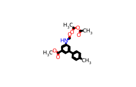 CC(=O)OC(C)=O.COC(=O)c1cc(NC=O)cc(-c2ccc(C)cc2)c1